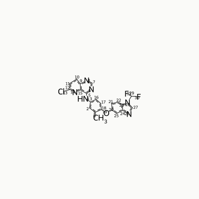 Cc1cc(Nc2ncnc3ccc(Cl)nc23)ccc1Oc1ccc2c(c1)ncn2C(F)F